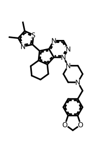 Cc1nc(-c2c3ncnn(N4CCN(Cc5ccc6c(c5)OCO6)CC4)c-3c3c2CCCC3)sc1C